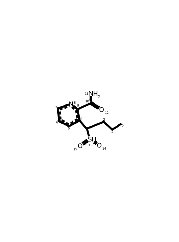 CCCC(c1cccnc1C(N)=O)[SH](=O)=O